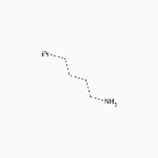 C[C](C)CCCCN